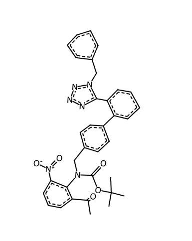 CC(=O)c1cccc([N+](=O)[O-])c1N(Cc1ccc(-c2ccccc2-c2nnnn2Cc2ccccc2)cc1)C(=O)OC(C)(C)C